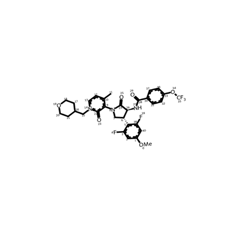 COc1cc(F)c([C@@H]2CN(c3c(C)ccn(CC4CCOCC4)c3=O)C(=O)[C@H]2NC(=O)c2ccc(OC(F)(F)F)cc2)c(F)c1